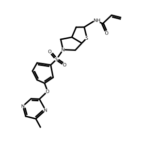 C=CC(=O)NC1CC2CN(S(=O)(=O)c3cccc(Oc4cncc(C)n4)c3)CC2S1